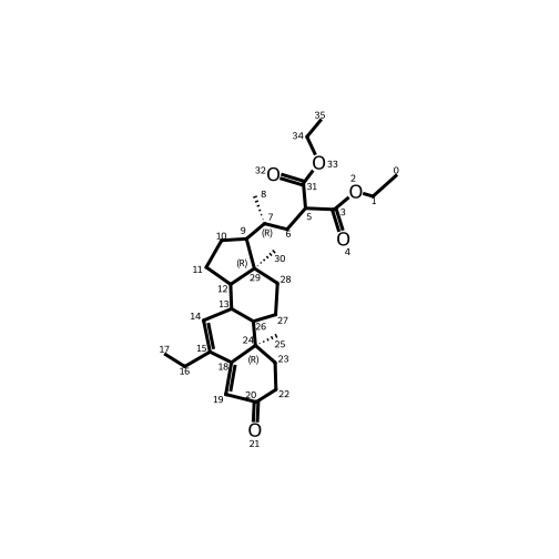 CCOC(=O)C(C[C@@H](C)C1CCC2C3C=C(CC)C4=CC(=O)CC[C@]4(C)C3CC[C@@]21C)C(=O)OCC